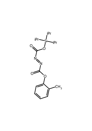 Cc1ccccc1OC(=O)N=NC(=O)O[Si](C(C)C)(C(C)C)C(C)C